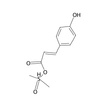 C[SH](C)(=O)OC(=O)/C=C/c1ccc(O)cc1